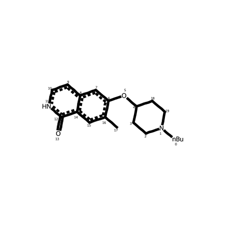 CCCCN1CCC(Oc2cc3cc[nH]c(=O)c3cc2C)CC1